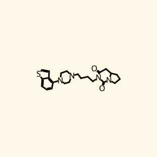 O=C1CC2CCCN2C(=O)N1CCCCN1CCN(c2cccc3sccc23)CC1